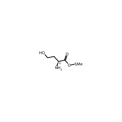 CSOC(=O)[C@@H](N)CCO